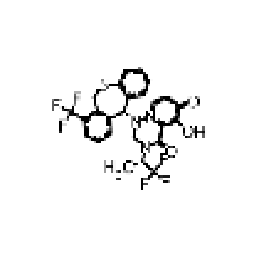 C[C@@H](N1CN([C@H]2c3ccccc3SCc3c2cccc3C(F)(F)F)n2ccc(=O)c(O)c2C1=O)C(F)(F)F